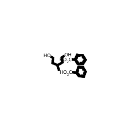 CC(CCO)CCO.O=C(O)c1ccccc1.O=C(O)c1ccccc1